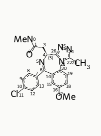 CNC(=O)C[C@@H]1N=C(c2ccc(Cl)cc2)c2cc(OC)ccc2-n2c(C)nnc21